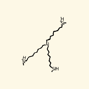 C[SiH](C)CCCCCCC[CH2][Al]([CH2]CCCCCCC[SiH](C)C)[CH2]CCCCCCC[SiH](C)C